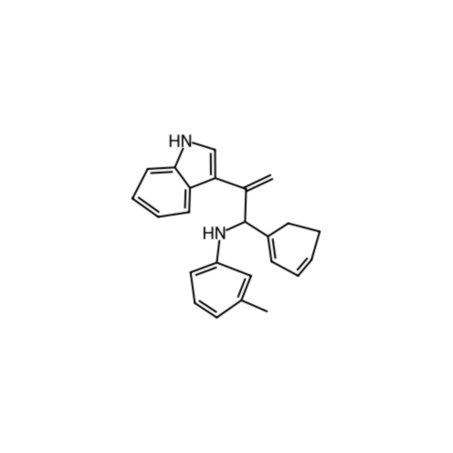 C=C(c1c[nH]c2ccccc12)C(Nc1cccc(C)c1)C1=CC=CCC1